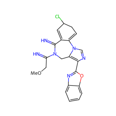 COCC(=N)N1Cc2c(-c3nc4ccccc4o3)ncn2C2=CCC(Cl)C=C2C1=N